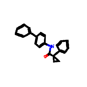 O=C(Nc1ccc(-c2ccccc2)cc1)C1(c2ccccc2)CC1